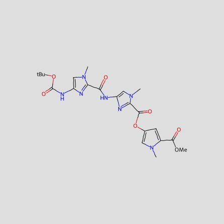 COC(=O)c1cc(OC(=O)c2nc(NC(=O)c3nc(NC(=O)OC(C)(C)C)cn3C)cn2C)cn1C